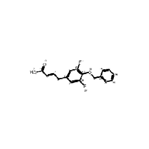 O=C(O)/C=C/Cc1cc(F)c(OCc2ccccc2)c(F)c1